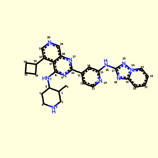 CC1CNCCC1Nc1nc(-c2ccnc(Nc3nc4ccccn4n3)c2)nc2cncc(C3CCC3)c12